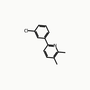 Cc1ccc(-c2cccc(Cl)c2)nc1C